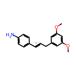 COc1cc(C/C=C/c2ccc(N)cc2)cc(OC)c1